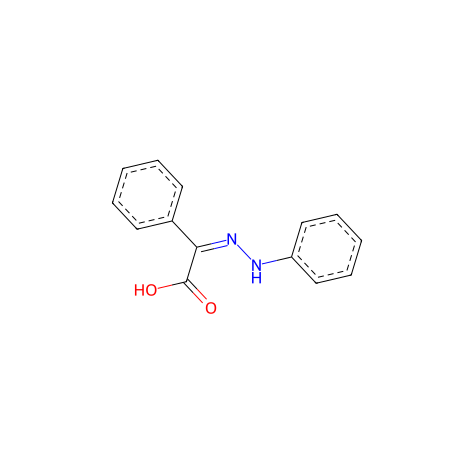 O=C(O)C(=NNc1ccccc1)c1ccccc1